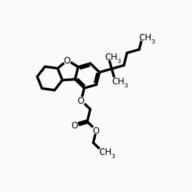 CCCCC(C)(C)c1cc(OCC(=O)OCC)c2c(c1)OC1CCCCC21